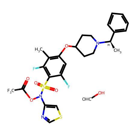 Cc1c(OC2CCN([C@H](C)c3ccccc3)CC2)cc(F)c(S(=O)(=O)N(OC(=O)C(F)(F)F)c2cscn2)c1F.O=CO